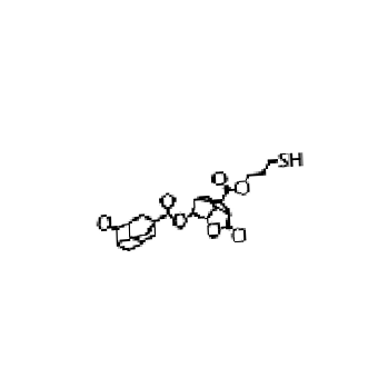 O=C1C2CC3CC1CC(C(=O)OC1C4CC5C1OC(=O)C5C4C(=O)OCCCS)(C3)C2